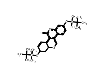 CC(C)(C)[Si](C)(C)Oc1ccc2c3c(c(=O)oc2c1)=C1C=CC(O[Si](C)(C)C(C)(C)C)CC1OC=3